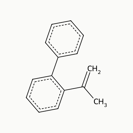 C=C(C)c1ccccc1-c1ccccc1